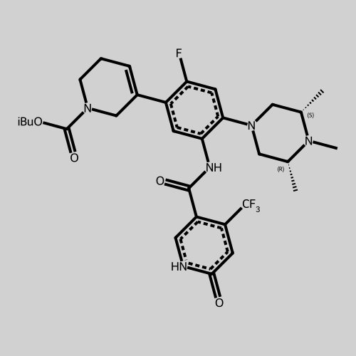 CC(C)COC(=O)N1CCC=C(c2cc(NC(=O)c3c[nH]c(=O)cc3C(F)(F)F)c(N3C[C@@H](C)N(C)[C@@H](C)C3)cc2F)C1